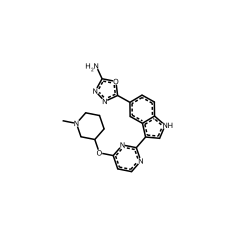 CN1CCCC(Oc2ccnc(-c3c[nH]c4ccc(-c5nnc(N)o5)cc34)n2)C1